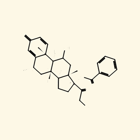 C[C@H]1C[C@@H]2[C@H](C(O)C[C@@]3(C)[C@H]2CC[C@]3(OC(=O)c2ccccc2)C(=O)CO)[C@@]2(C)C=CC(=O)C=C12